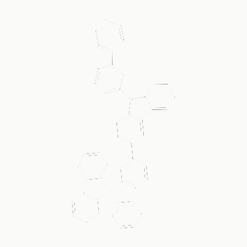 c1ccc([Si](c2ccccc2)(c2ccccc2)c2cccc(-c3ccc4c(c3)c3ccccc3n4-c3ccc4sc5cnccc5c4n3)c2)cc1